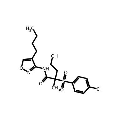 CCCCc1conc1NC(=O)C(C)(CCO)S(=O)(=O)c1ccc(Cl)cc1